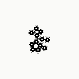 c1ccc(-c2ccc(N(c3ccc4c(c3)-c3ccccc3-c3ccccc3N4c3ccccc3)c3ccc4c5ccccc5c5ccccc5c5ccccc5c5c(ccc6c7ccccc7oc65)c4c3)cc2)cc1